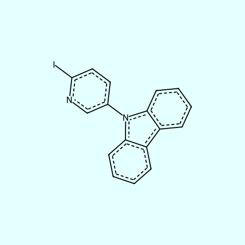 Ic1ccc(-n2c3ccccc3c3ccccc32)cn1